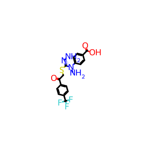 N/N=C(/SCC(=O)c1ccc(C(F)(F)F)cc1)N(N)c1ccc(C(=O)O)cc1